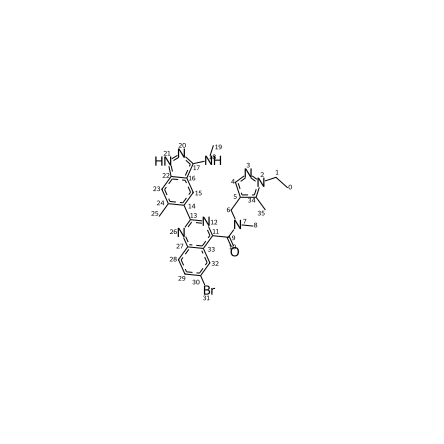 CCn1ncc(CN(C)C(=O)c2nc(-c3cc4c(NC)n[nH]c4cc3C)nc3ccc(Br)cc23)c1C